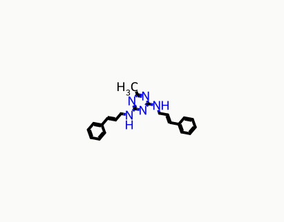 Cc1nc(NC/C=C/c2ccccc2)nc(NC/C=C/c2ccccc2)n1